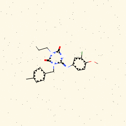 CCOc1ccc(/N=c2\[nH]c(=O)n(CCC(=O)O)c(=O)n2Cc2ccc(C)cc2)cc1Cl